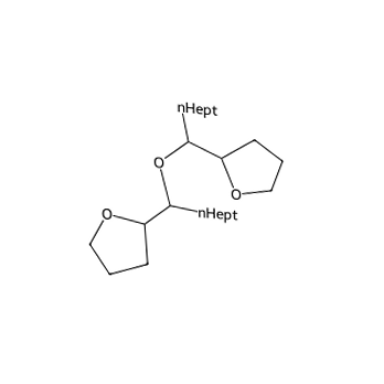 CCCCCCCC(OC(CCCCCCC)C1CCCO1)C1CCCO1